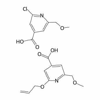 C=CCOc1cc(C(=O)O)cc(COC)n1.COCc1cc(C(=O)O)cc(Cl)n1